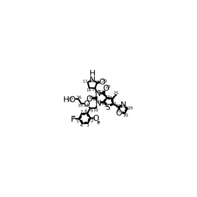 COc1ccc(F)cc1C(Cn1c(=O)n(C2CCNC2=O)c(=O)c2c(C)c(-c3ncco3)sc21)OCCO